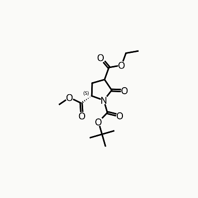 CCOC(=O)C1C[C@@H](C(=O)OC)N(C(=O)OC(C)(C)C)C1=O